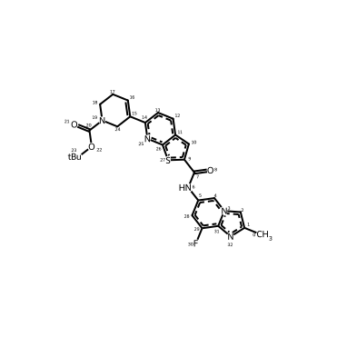 Cc1cn2cc(NC(=O)c3cc4ccc(C5=CCCN(C(=O)OC(C)(C)C)C5)nc4s3)cc(F)c2n1